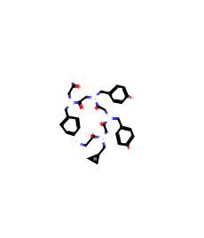 NCC(=O)N(CC(=O)N(CC(=O)N(CC(=O)N(CC(N)=O)Cc1ccccc1)Cc1ccc(O)cc1)Cc1ccc(O)cc1)CC1CC1